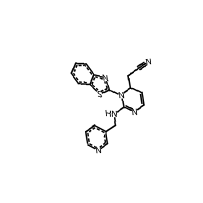 N#CCC1C=CN=C(NCc2cccnc2)N1c1nc2ccccc2s1